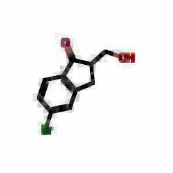 O=C1c2ccc(Br)cc2CC1CO